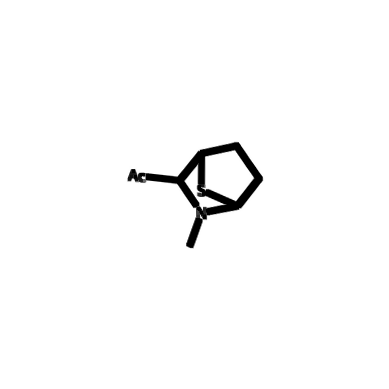 CC(=O)C1C2CCC(S2)N1C